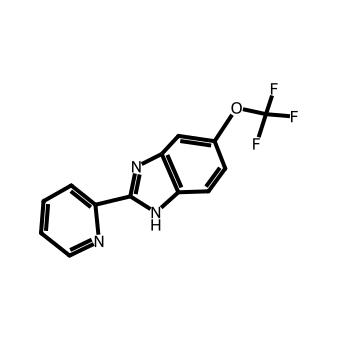 FC(F)(F)Oc1ccc2[nH]c(-c3ccccn3)nc2c1